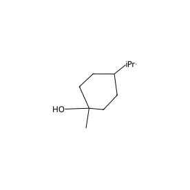 C[C](C)C1CCC(C)(O)CC1